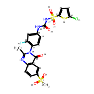 Cc1nc2ccc(S(C)(=O)=O)cc2c(=O)n1-c1ccc(NC(=O)NS(=O)(=O)c2ccc(Cl)s2)cc1F